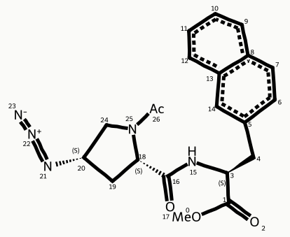 COC(=O)[C@H](Cc1ccc2ccccc2c1)NC(=O)[C@@H]1C[C@H](N=[N+]=[N-])CN1C(C)=O